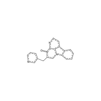 O=c1c(Cc2cccnc2)cn2c3ccccc3c3ccnc1c32